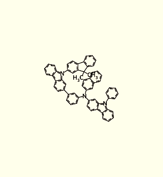 CC1(C)c2ccccc2-c2ccc(-n3c4ccccc4c4ccc(-c5cccc(N(c6ccc7ccccc7c6)c6ccc7c8ccccc8n(-c8ccccc8)c7c6)c5)cc43)cc21